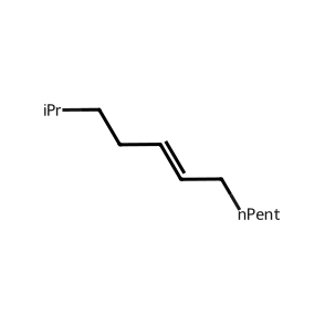 CCCCCC/C=C/CCC(C)C